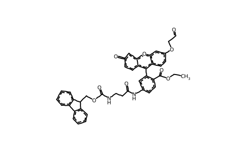 CCOC(=O)c1ccc(NC(=O)CCNC(=O)OCC2c3ccccc3-c3ccccc32)cc1-c1c2ccc(=O)cc-2oc2cc(OCC=O)ccc12